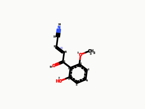 COc1cccc(O)c1C(=O)/C=C/C#N